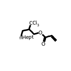 C=CC(=O)OCC(CCCCCCCC)C(Cl)(Cl)Cl